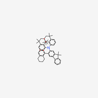 CC1(C)CCC(C)(C)c2c(N(c3cc4c(cc3-c3cccc5c3CCCC5)-c3ccccc3C4(C)C)c3cccc4c3C(C)(C)CCC4(C)C)cccc21